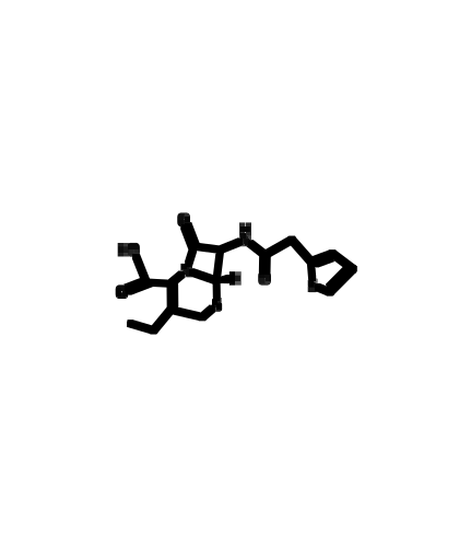 CCC1=C(C(=O)O)N2C(=O)C(NC(=O)Cc3cccs3)[C@@H]2SC1